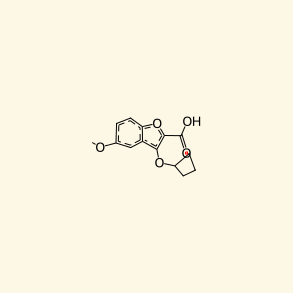 COc1ccc2oc(C(=O)O)c(OC3CCC3)c2c1